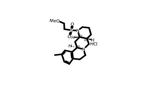 COCCS(=O)(=O)N1CCC[C@@H]2CN3CCc4ccc(C)cc4[C@H]3C[C@@H]21.Cl